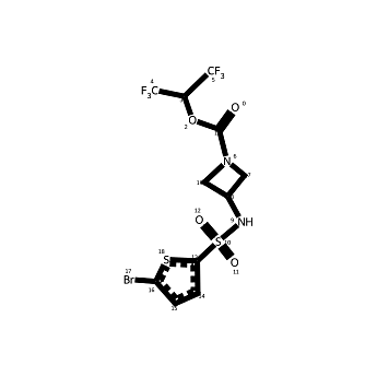 O=C(OC(C(F)(F)F)C(F)(F)F)N1CC(NS(=O)(=O)c2ccc(Br)s2)C1